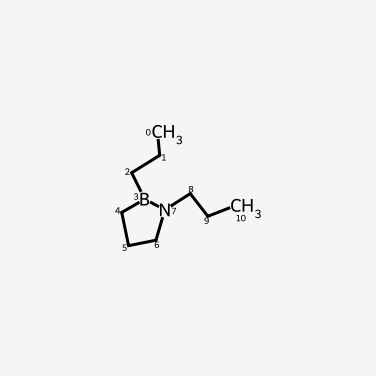 CCCB1CCCN1CCC